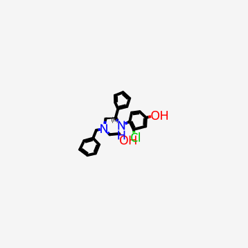 OCCN(Cc1ccccc1)C[C@H](Nc1ccc(O)cc1Cl)c1ccccc1